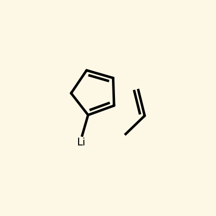 C=CC.[Li][C]1=CC=CC1